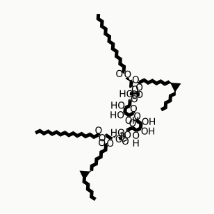 CCCCCCCCCCCCCCCC(=O)OC[C@H](COP(=O)(O)OCC1OC(OC2OC(COP(=O)(O)OC[C@@H](COC(=O)CCCCCCCCCCCCCCC)OC(=O)CCCCCCC[C@H]3C=C3CCCCCC)C(O)C(O)C2O)C(O)C(O)C1O)OC(=O)CCCCCCC[C@H]1C[C@H]1CCCCCC